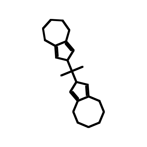 CC(C)(C1C=C2CCCCCCC2=C1)C1C=C2CCCCCC2=C1